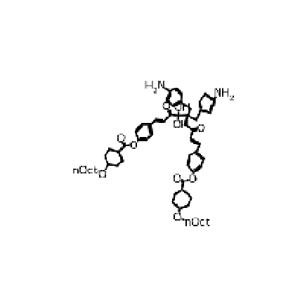 CCCCCCCCOC1CCC(C(=O)Oc2ccc(C=CC(=O)CC(Cc3ccc(N)cc3)(Cc3ccc(N)cc3)C(O)(O)C(=O)C=Cc3ccc(OC(=O)C4CCC(OCCCCCCCC)CC4)cc3)cc2)CC1